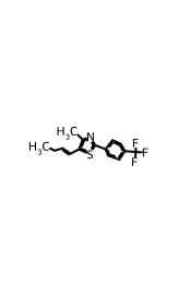 CCC=Cc1sc(-c2ccc(C(F)(F)F)cc2)nc1C